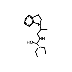 CCN(CC)C(O)NCC(C)N1CCc2ccccc21